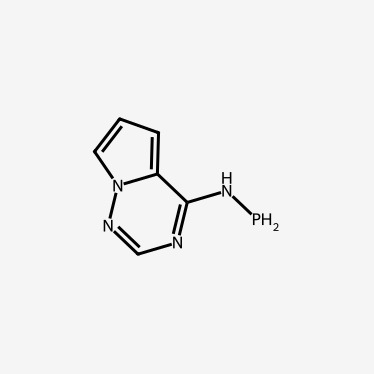 PNc1ncnn2cccc12